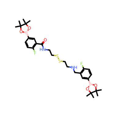 CC1(C)OB(c2ccc(F)c(CNCCSSCCNC(=O)c3cc(B4OC(C)(C)C(C)(C)O4)ccc3F)c2)OC1(C)C